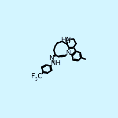 Cc1ccc2c(c1)c1c3n2/C=C\C(=N/Nc2ccc(C(F)(F)F)cc2)CCCC[C@@H]3NCC1